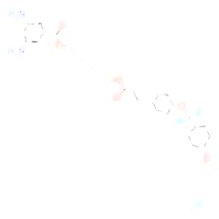 Nc1cc(N)cc(C(=O)OCCCCCCOC(=O)/C=C/c2ccc(OC(F)(F)c3ccc(OCCCCF)cc3)cc2)c1